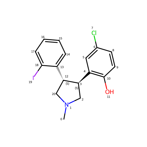 CN1C[C@H](c2cc(Cl)ccc2O)[C@@H](c2ccccc2I)C1